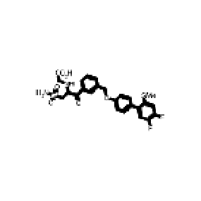 CSc1cc(F)c(F)cc1-c1ccc(OCc2cccc(C(=O)C(CS(N)(=O)=O)NCC(=O)O)c2)cc1